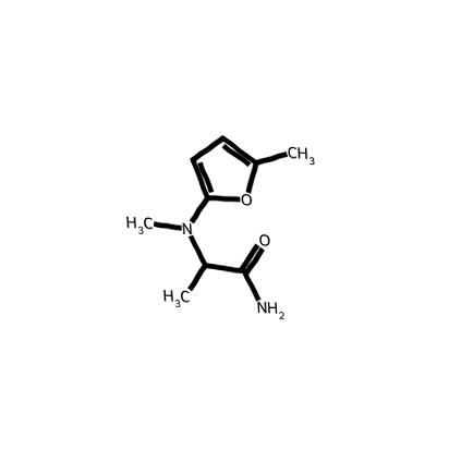 Cc1ccc(N(C)C(C)C(N)=O)o1